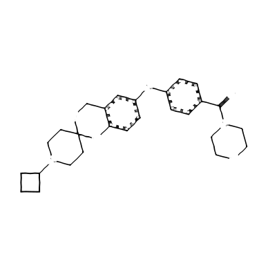 O=C(c1ccc(Nc2ccc3c(c2)COC2(CCN(C4CCC4)CC2)O3)cc1)N1CCOCC1